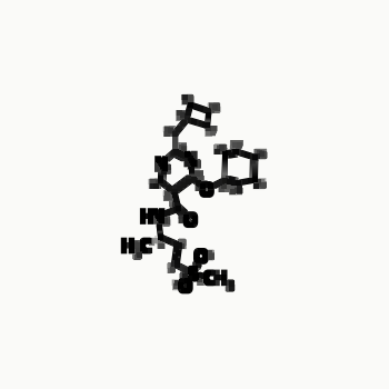 C[C@@H](/C=C/S(C)(=O)=O)NC(=O)c1cnc(CC2CCC2)nc1Oc1ccccc1